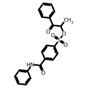 CC(OS(=O)(=O)c1ccc(C(=O)Nc2ccccc2)cc1)C(=O)c1ccccc1